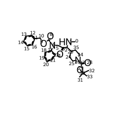 CNC(C(=O)CN(C(=O)OCc1ccccc1)c1ccccc1)C1CCN(C(=O)OC(C)(C)C)CC1